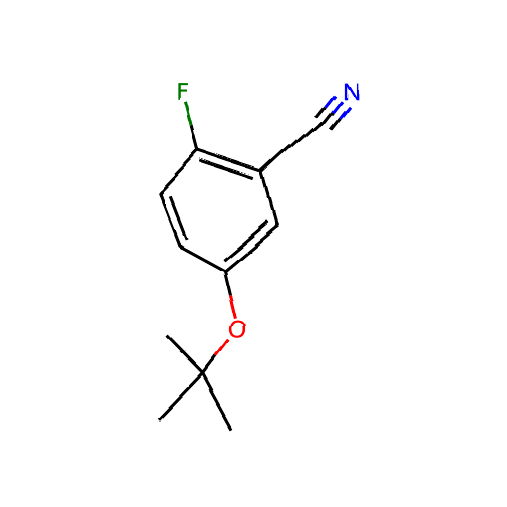 CC(C)(C)Oc1ccc(F)c(C#N)c1